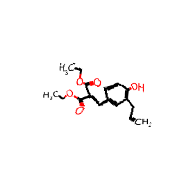 C=CCc1cc(C=C(C(=O)OCC)C(=O)OCC)ccc1O